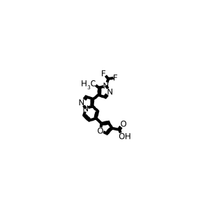 Cc1c(-c2cnn3ccc(-c4cc(C(=O)O)co4)cc23)cnn1C(F)F